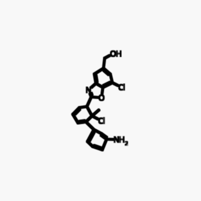 CC1(Cl)C(c2cccc(N)c2)=CC=CC1c1nc2cc(CO)cc(Cl)c2o1